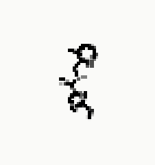 C=Cc1nc(C(=O)NCc2ncccc2C)co1